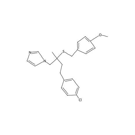 COc1ccc(CSC(C)(CCc2ccc(Cl)cc2)Cn2ccnc2)cc1